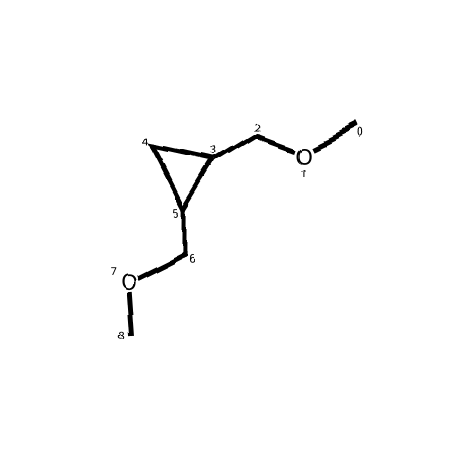 COCC1CC1COC